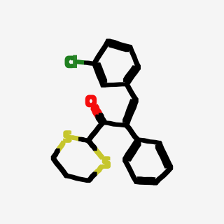 O=C(C(=Cc1cccc(Cl)c1)c1ccccc1)C1SCCCS1